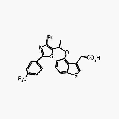 CC(C)c1nc(-c2ccc(C(F)(F)F)cc2)sc1C(C)Oc1cccc2scc(CC(=O)O)c12